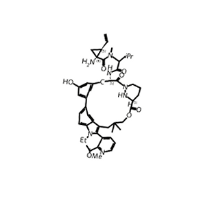 C=C[C@@H]1C[C@]1(N)C(=O)N(C)C(C(=O)N[C@H]1Cc2cc(O)cc(c2)-c2ccc3c(c2)c(c(-c2cccnc2[C@H](C)OC)n3CC)CC(C)(C)COC(=O)[C@@H]2CCCN(N2)C1=O)C(C)C